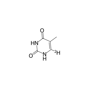 [2H]c1[nH]c(=O)[nH]c(=O)c1C